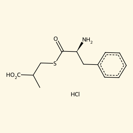 CC(CSC(=O)[C@@H](N)Cc1ccccc1)C(=O)O.Cl